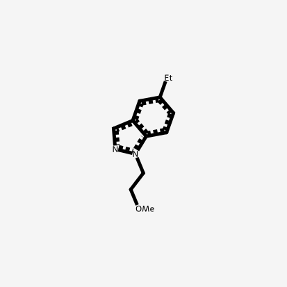 CCc1ccc2c(cnn2CCOC)c1